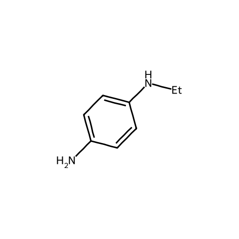 [CH2]CNc1ccc(N)cc1